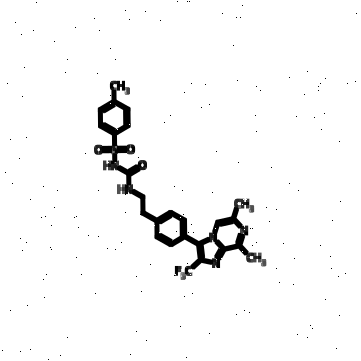 Cc1ccc(S(=O)(=O)NC(=O)NCCc2ccc(-c3c(C(F)(F)F)nc4c(C)nc(C)cn34)cc2)cc1